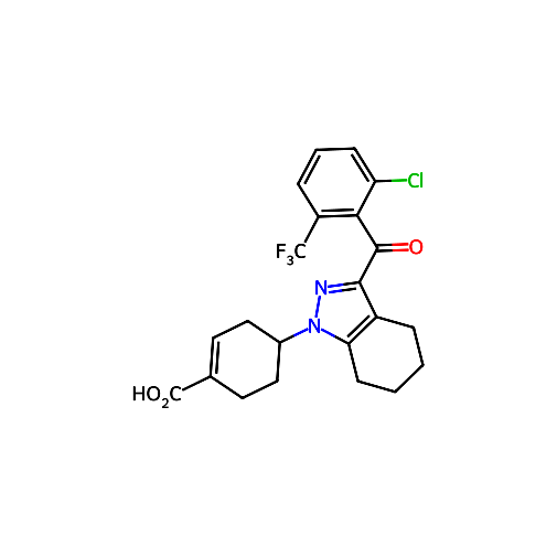 O=C(O)C1=CCC(n2nc(C(=O)c3c(Cl)cccc3C(F)(F)F)c3c2CCCC3)CC1